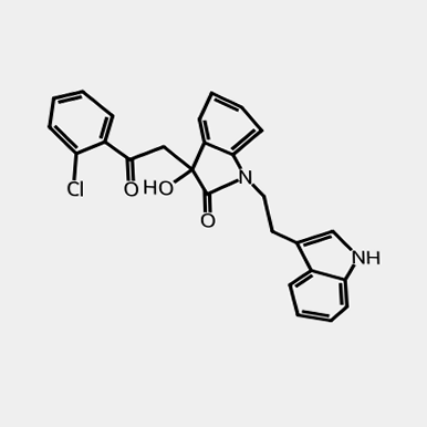 O=C(CC1(O)C(=O)N(CCc2c[nH]c3ccccc23)c2ccccc21)c1ccccc1Cl